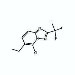 CCc1ccc2nc(C(F)(F)F)nn2c1Cl